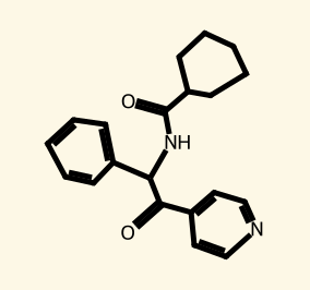 O=C(NC(C(=O)c1ccncc1)c1ccccc1)C1CCCCC1